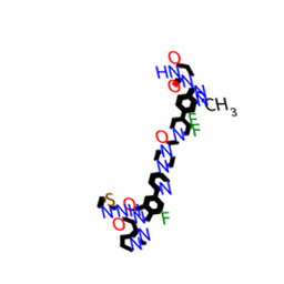 Cn1nc(N2CCC(=O)NC2=O)c2ccc(C3CCN(CC(=O)N4CCN(c5ccc(-c6cc(F)c7c(c6)C(=O)N(C(C(=O)Nc6nccs6)c6ncn8c6CCC8)C7)nc5)CC4)CC3(F)F)cc21